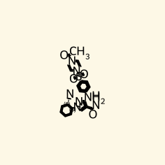 CC(=O)N1CCN(S(=O)(=O)c2ccc(Nc3nn([C@H]4CCCC[C@@H]4C#N)cc3C(N)=O)cc2)CC1